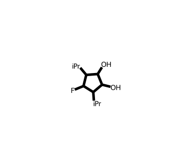 CC(C)C1C(O)C(O)C(C(C)C)C1F